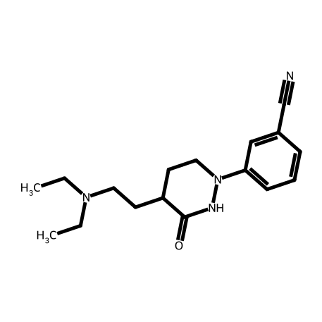 CCN(CC)CCC1CCN(c2cccc(C#N)c2)NC1=O